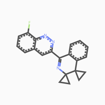 Fc1cccc2cc(C3=NC4(CC4)C4(CC4)c4ccccc43)nnc12